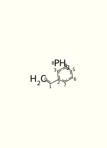 C=Cc1ccccc1.P